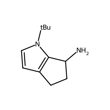 CC(C)(C)n1ccc2c1C(N)CC2